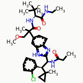 CCNC(=O)[C@H](NC(=O)C(C)(COC)c1ccc2nc([C@@H](NC(=O)CC)[C@H](c3ccccc3Cl)C3(C)CC3)[nH]c2c1)C(C)(C)C